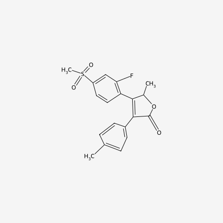 Cc1ccc(C2=C(c3ccc(S(C)(=O)=O)cc3F)C(C)OC2=O)cc1